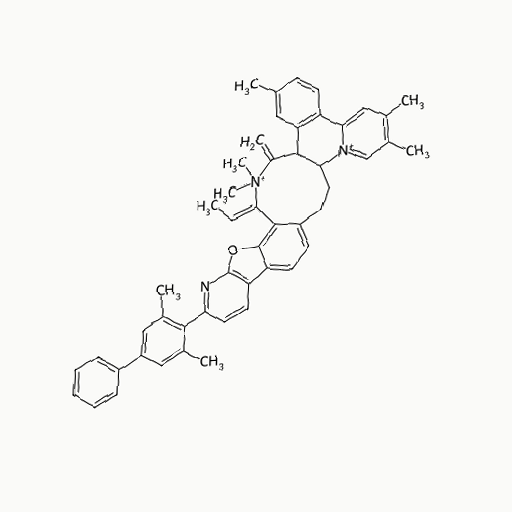 C=C1C2c3cc(C)ccc3-c3cc(C)c(C)c[n+]3C2CCc2ccc3c(oc4nc(-c5c(C)cc(-c6ccccc6)cc5C)ccc43)c2/C(=C/C)[N+]1(C)C